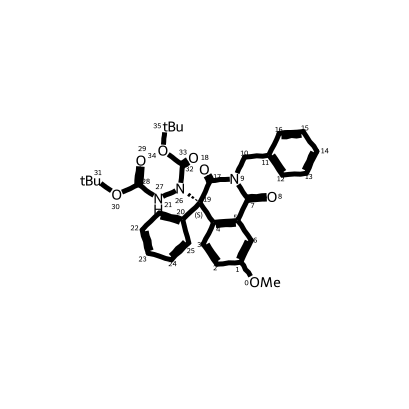 COc1ccc2c(c1)C(=O)N(Cc1ccccc1)C(=O)[C@@]2(c1ccccc1)N(NC(=O)OC(C)(C)C)C(=O)OC(C)(C)C